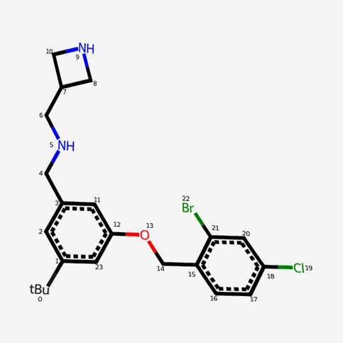 CC(C)(C)c1cc(CNCC2CNC2)cc(OCc2ccc(Cl)cc2Br)c1